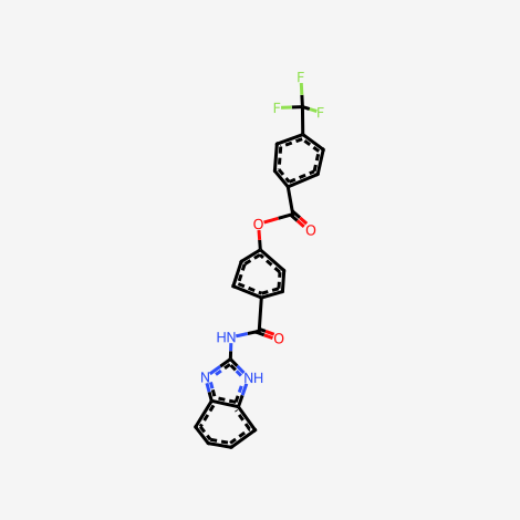 O=C(Nc1nc2ccccc2[nH]1)c1ccc(OC(=O)c2ccc(C(F)(F)F)cc2)cc1